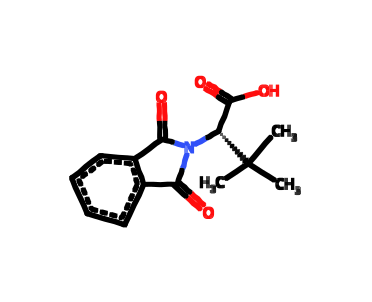 CC(C)(C)[C@@H](C(=O)O)N1C(=O)c2ccccc2C1=O